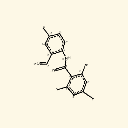 Cc1cc(C)c(C(=O)Nc2ccc(C)cc2C=O)c(C)c1